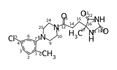 Cc1ccc(Cl)cc1N1CCN(C(=O)CCC2(C)NC(=O)NC2=O)CC1